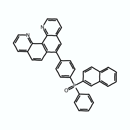 O=P(c1ccccc1)(c1ccc(-c2cc3cccnc3c3c2ccc2cccnc23)cc1)c1ccc2ccccc2c1